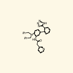 CC(C)CN(CC(C)C)c1ccc(-c2ccccc2-c2nnn[nH]2)cc1NC(=O)Cc1cccnc1